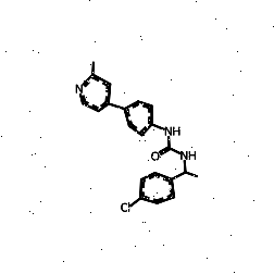 Cc1cc(-c2ccc(NC(=O)NC(C)c3ccc(Cl)cc3)cc2)ccn1